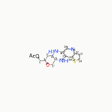 CC(=O)OCC1CCC(Nc2c(N)cnc3ccsc23)CO1